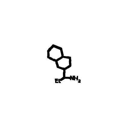 CCC(N)C1CCC2CCCCC2C1